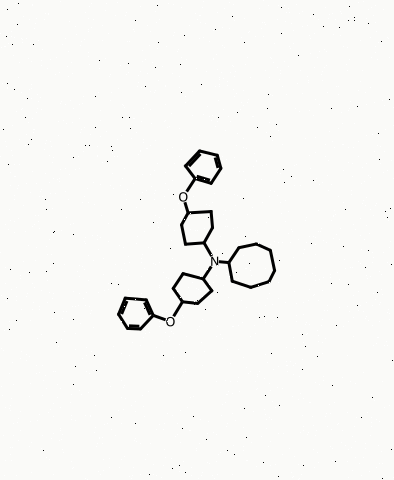 c1ccc(OC2CCC(N(C3CCCCCCC3)C3CCC(Oc4ccccc4)CC3)CC2)cc1